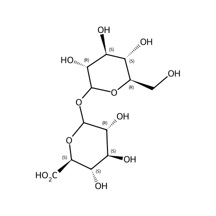 O=C(O)[C@H]1OC(OC2O[C@H](CO)[C@@H](O)[C@H](O)[C@H]2O)[C@H](O)[C@@H](O)[C@@H]1O